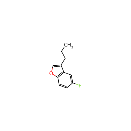 CCCc1coc2ccc(F)cc12